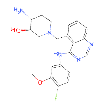 COc1cc(Nc2ncnc3cccc(CN4CC[C@@H](N)[C@H](O)C4)c23)ccc1F